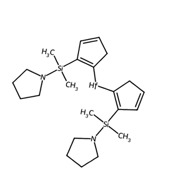 C[Si](C)(C1=[C]([Hf][C]2=C([Si](C)(C)N3CCCC3)C=CC2)CC=C1)N1CCCC1